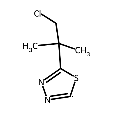 CC(C)(CCl)c1nn[c]s1